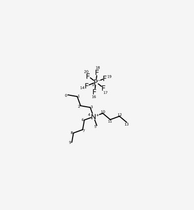 CCCC[N+](C)(CCCC)CCCC.F[P-](F)(F)(F)(F)F